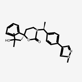 C[C@@H](c1ccc(-c2cnn(C)c2)cc1)N1CC[C@](CC(C)(C)O)(c2ccccc2)OC1=O